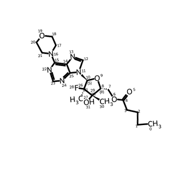 CCCCC(=O)OC[C@H]1O[C@H](n2cnc3c(N4CCOCC4)ncnc32)[C@](C)(F)[C@@]1(C)O